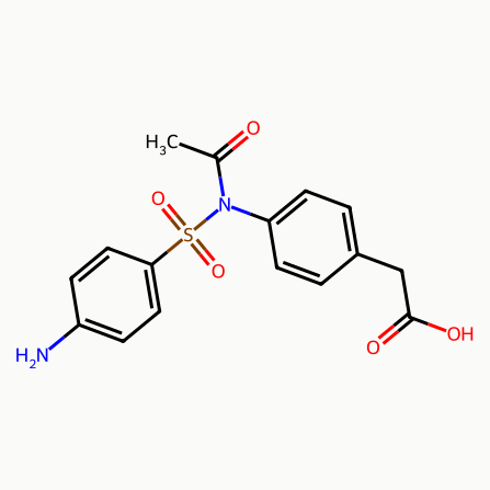 CC(=O)N(c1ccc(CC(=O)O)cc1)S(=O)(=O)c1ccc(N)cc1